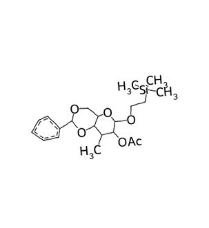 CC(=O)OC1C(OCC[Si](C)(C)C)OC2COC(c3ccccc3)OC2C1C